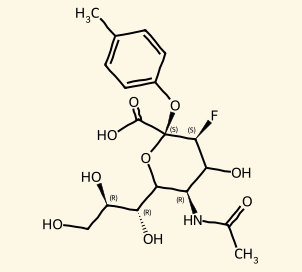 CC(=O)N[C@H]1C([C@H](O)[C@H](O)CO)O[C@](Oc2ccc(C)cc2)(C(=O)O)[C@@H](F)C1O